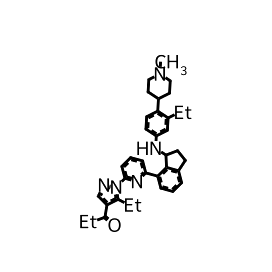 CCC(=O)c1cnn(-c2cccc(-c3cccc4c3C(Nc3ccc(C5CCN(C)CC5)c(CC)c3)CC4)n2)c1CC